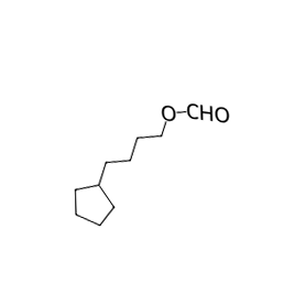 O=COCCCCC1CCCC1